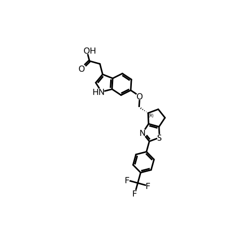 O=C(O)Cc1c[nH]c2cc(OC[C@@H]3CCc4sc(-c5ccc(C(F)(F)F)cc5)nc43)ccc12